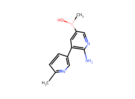 CB(O)c1cnc(N)c(-c2ccc(C)nc2)c1